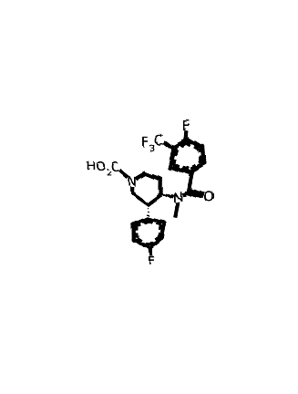 CN(C(=O)c1ccc(F)c(C(F)(F)F)c1)[C@@H]1CCN(C(=O)O)C[C@H]1c1ccc(F)cc1